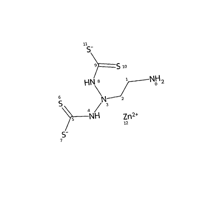 NCCN(NC(=S)[S-])NC(=S)[S-].[Zn+2]